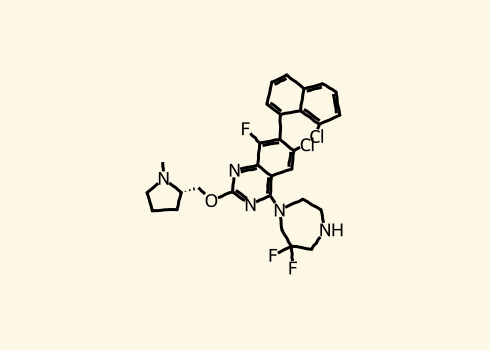 CN1CCC[C@H]1COc1nc(N2CCNCC(F)(F)C2)c2cc(Cl)c(-c3cccc4cccc(Cl)c34)c(F)c2n1